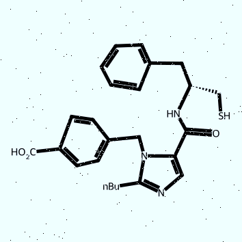 CCCCc1ncc(C(=O)N[C@@H](CS)Cc2ccccc2)n1Cc1ccc(C(=O)O)cc1